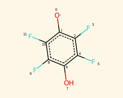 [O]c1c(F)c(F)c(O)c(F)c1F